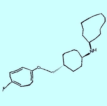 Fc1ccc(OC[C@H]2CC[C@H](NC3CCCCCC3)CC2)cc1